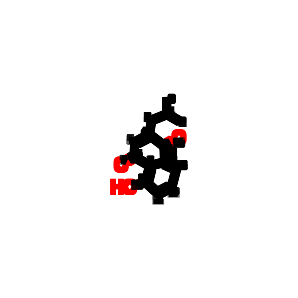 CC(C)CC1=CC(=O)c2c(O)cccc2C1=O